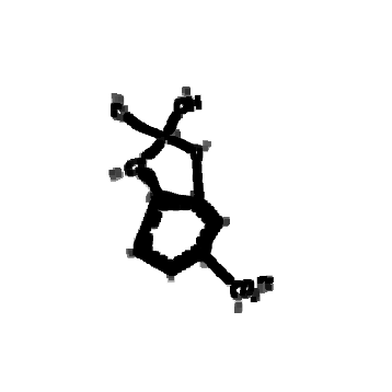 CCOC(=O)c1ccc2c(c1)O[P](O)(Cl)O2